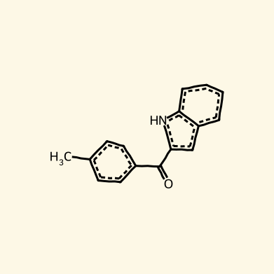 Cc1ccc(C(=O)c2cc3ccccc3[nH]2)cc1